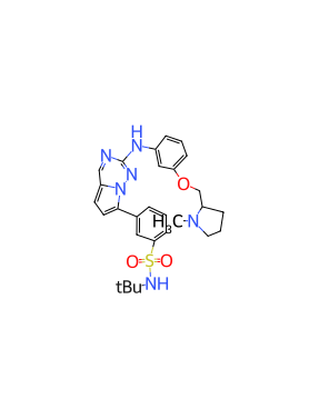 CN1CCCC1COc1cccc(Nc2ncc3ccc(-c4cccc(S(=O)(=O)NC(C)(C)C)c4)n3n2)c1